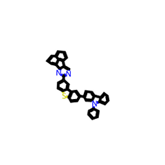 c1ccc(-n2c3ccccc3c3ccc(-c4ccc5sc6ccc(-c7ncc8c(n7)-c7cccc9cccc-8c79)cc6c5c4)cc32)cc1